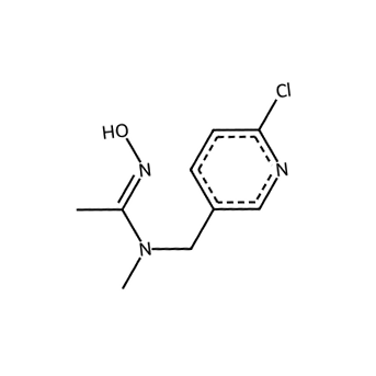 CC(=NO)N(C)Cc1ccc(Cl)nc1